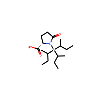 CCC(C)[Si](C(C)CC)(C(C)CC)N1C(=O)CC[C@H]1C(=O)O